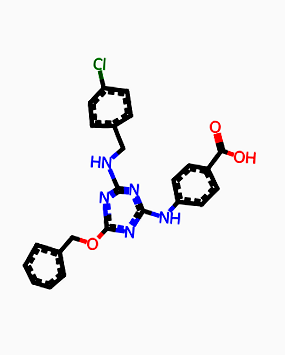 O=C(O)c1ccc(Nc2nc(NCc3ccc(Cl)cc3)nc(OCc3ccccc3)n2)cc1